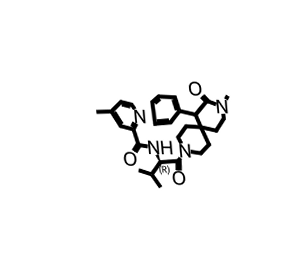 Cc1ccnc(C(=O)N[C@@H](C(=O)N2CCC3(CCN(C)C(=O)C3c3ccccc3)CC2)C(C)C)c1